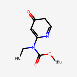 CC(C)(C)OC(=O)N(CC#N)C1=CC(=O)CC=N1